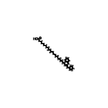 O=C(O)CCCCCCCCCC/C=C/CCCCCCCCCCCN(Cc1ccccc1)Cc1ccccc1